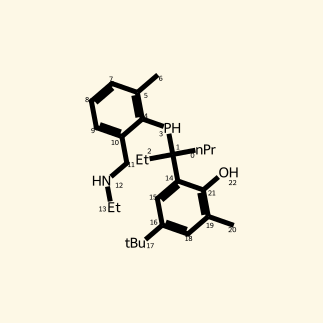 CCCC(CC)(Pc1c(C)cccc1CNCC)c1cc(C(C)(C)C)cc(C)c1O